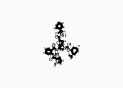 CC(C)[C@@H]1CC[C@@H](C)C[C@H]1OC(=O)n1nc(NC(=O)c2ccccc2NC(=O)c2cccn2C)c2oc(C(=O)NC(C)(C)c3ccccc3)cc21